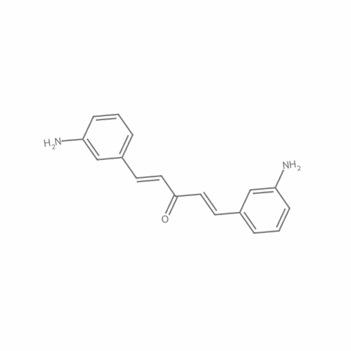 Nc1cccc(C=CC(=O)C=Cc2cccc(N)c2)c1